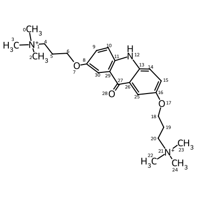 C[N+](C)(C)CCCOc1ccc2[nH]c3ccc(OCCC[N+](C)(C)C)cc3c(=O)c2c1